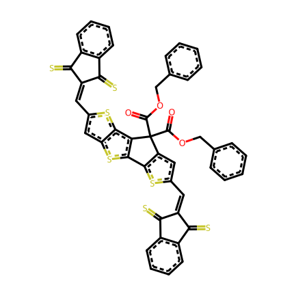 O=C(OCc1ccccc1)C1(C(=O)OCc2ccccc2)c2cc(C=C3C(=S)c4ccccc4C3=S)sc2-c2sc3cc(C=C4C(=S)c5ccccc5C4=S)sc3c21